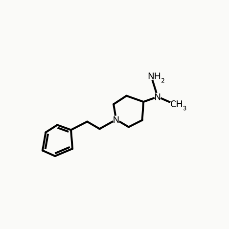 CN(N)C1CCN(CCc2ccccc2)CC1